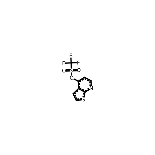 O=S(=O)(Oc1ccnc2sccc12)C(F)(F)F